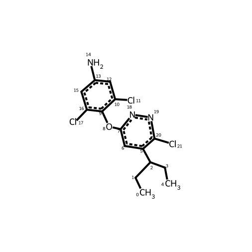 CCC(CC)c1cc(Oc2c(Cl)cc(N)cc2Cl)nnc1Cl